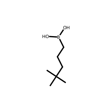 CC(C)(C)CCCB(O)O